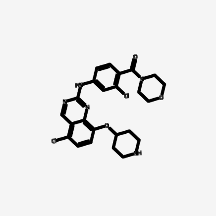 O=C(c1ccc(Nc2ncc3c(Cl)ccc(OC4CCNCC4)c3n2)cc1Cl)N1CCOCC1